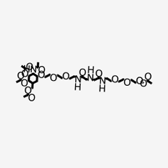 CC(=O)NC1C(OCCOCCOCCNC(=O)CNCC(=O)NCCOCCOCCOOC(C)=O)CC(COC(C)=O)C(OC(C)=O)C1OC(C)=O